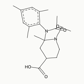 CC(=O)N1CCC(C(=O)O)CC1(C)N(C(C)=O)c1c(C)cc(C)cc1C